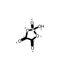 O=C1OP(=O)(O)OC1=O